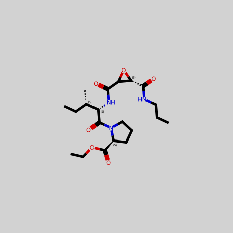 CCCNC(=O)[C@H]1OC1C(=O)N[C@H](C(=O)N1CCC[C@H]1C(=O)OCC)[C@@H](C)CC